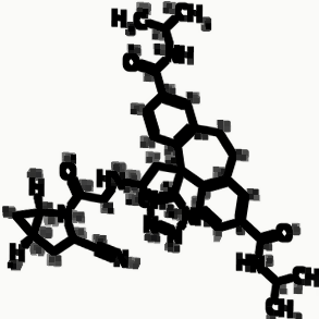 CC(C)NC(=O)c1ccc2c(c1)CCc1cc(C(=O)NC(C)C)ccc1C2(C[C@H](C)NCC(=O)N1C(C#N)C[C@@H]2C[C@@H]21)c1nnn[nH]1